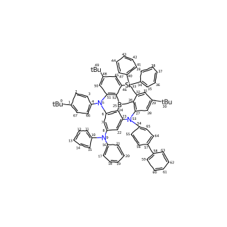 CC(C)(C)c1ccc(N2c3cc(N(c4ccccc4)c4ccccc4)cc4c3B3c5c(cc(C(C)(C)C)cc5[Si](c5ccccc5)(c5ccccc5)c5cc(C(C)(C)C)cc2c53)N4c2ccc(-c3ccccc3)cc2)cc1